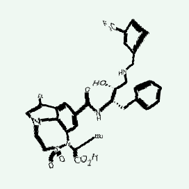 CCc1cn2c3c(cc(C(=O)N[C@@H](Cc4ccccc4)[C@H](O)CNCc4cccc(C(F)(F)F)c4)cc13)N(C(C(=O)O)C(C)(C)C)S(=O)(=O)CC2